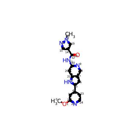 COc1cc(-c2cc3cnc(NC(=O)c4cnn(C)c4)cc3[nH]2)ccn1